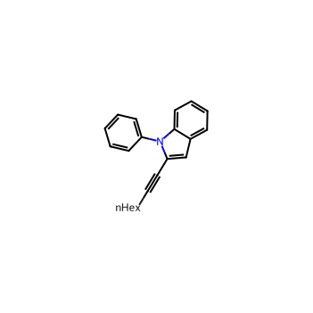 CCCCCCC#Cc1cc2ccccc2n1-c1ccccc1